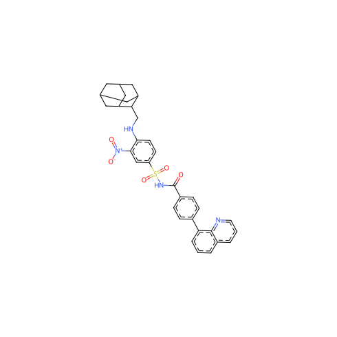 O=C(NS(=O)(=O)c1ccc(NCC2C3CC4CC(C3)CC2C4)c([N+](=O)[O-])c1)c1ccc(-c2cccc3cccnc23)cc1